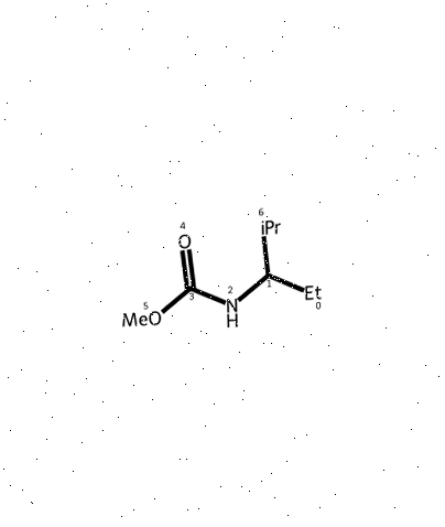 CCC(NC(=O)OC)C(C)C